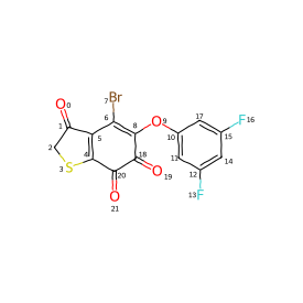 O=C1CSC2=C1C(Br)=C(Oc1cc(F)cc(F)c1)C(=O)C2=O